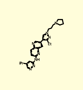 CCc1nn(CCCN2CCCC2)cc1-c1cnc2ccc(Nc3cc(C(C)C)cnn3)nc2c1